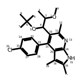 COC(C)C(OC(C)(C)C)c1c(C)nc2[nH]c(C)c(C)c2c1-c1ccc(Cl)cc1